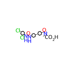 C[C@@H](C(=O)O)N(C)C(=O)c1ccc(-c2ccc(NC(=O)Nc3ccc(Cl)cc3Cl)cc2)cc1